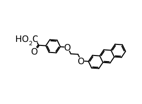 O=C(O)C(=O)c1ccc(OCCOc2ccc3cc4ccccc4cc3c2)cc1